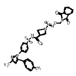 Cc1ccc(-c2cc(C(F)(F)F)nn2-c2ccc(S(=O)(=O)NC(=O)C3CN(/[N+]([O-])=N/OCN4C(=O)c5ccccc5C4=O)C3)cc2)cc1